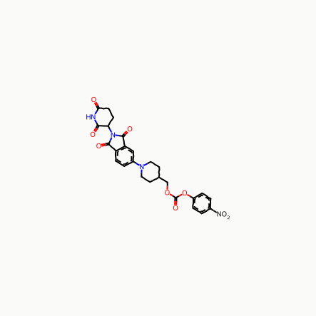 O=C1CCC(N2C(=O)c3ccc(N4CCC(COC(=O)Oc5ccc([N+](=O)[O-])cc5)CC4)cc3C2=O)C(=O)N1